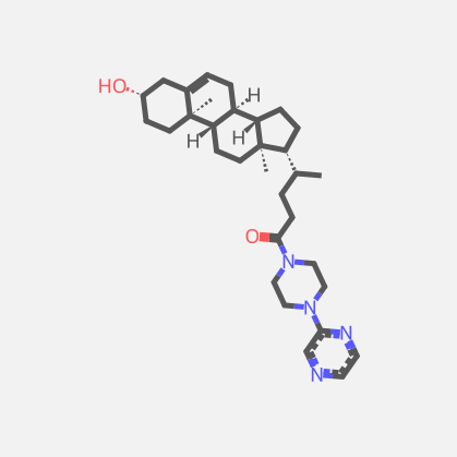 CC(CCC(=O)N1CCN(c2cnccn2)CC1)[C@H]1CC[C@H]2[C@@H]3CC=C4C[C@@H](O)CC[C@]4(C)[C@H]3CC[C@]12C